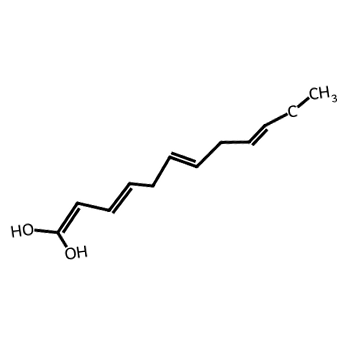 CCC=CCC=CCC=CC=C(O)O